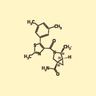 [CH2][C@H]1[C@H]2C[C@]2(C(N)=O)CN1C(=O)c1nc(C)sc1-c1cc(C)cc(C)c1